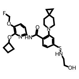 O=C(Nc1ccc(OCF)c(OC2CCC2)n1)c1ccc(SNCCO)cc1N1CCC2(CC1)CC2